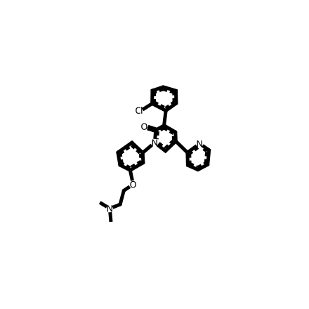 CN(C)CCOc1cccc(-n2cc(-c3ccccn3)cc(-c3ccccc3Cl)c2=O)c1